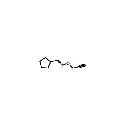 C#CCO/N=[C]/C1CCCC1